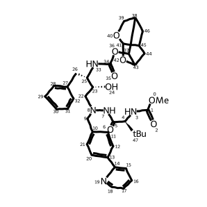 COC(=O)N[C@H](C(=O)NN(Cc1ccc(-c2ccccn2)cc1)C[C@@H](O)[C@H](Cc1ccccc1)NC(=O)OC1C2COC3OC1CC3C2)C(C)(C)C